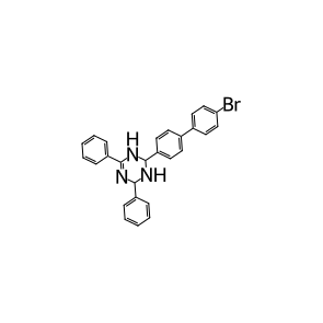 Brc1ccc(-c2ccc(C3NC(c4ccccc4)=NC(c4ccccc4)N3)cc2)cc1